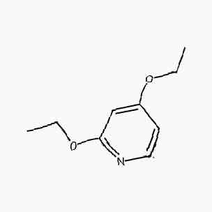 CCOc1c[c]nc(OCC)c1